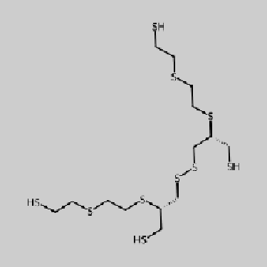 SCCSCCS[C@H](CS)CSSC[C@H](CS)SCCSCCS